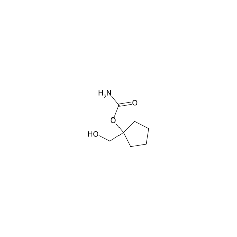 NC(=O)OC1(CO)CCCC1